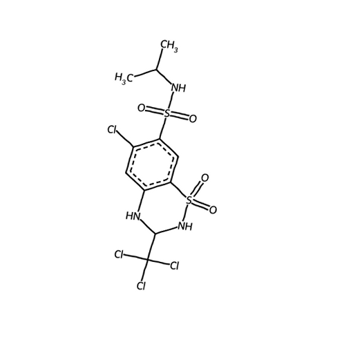 CC(C)NS(=O)(=O)c1cc2c(cc1Cl)NC(C(Cl)(Cl)Cl)NS2(=O)=O